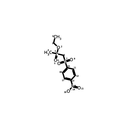 CCOP(C)(=O)CS(=O)(=O)c1ccc([N+](=O)[O-])cc1